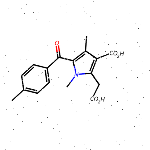 Cc1ccc(C(=O)c2c(C)c(C(=O)O)c(CC(=O)O)n2C)cc1